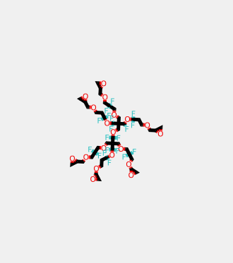 FC(OC(F)(F)CCOCC1CO1)C(COCC(F)(F)COCC1CO1)(COC(F)(F)C(COCC(F)(F)COCC1CO1)(COCC(F)(F)COC1CO1)C(F)(F)OC(F)(F)CCOC1CO1)C(F)(F)OC(F)(F)CCOCC1CO1